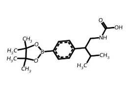 CC(C)C(CNC(=O)O)c1ccc(B2OC(C)(C)C(C)(C)O2)cc1